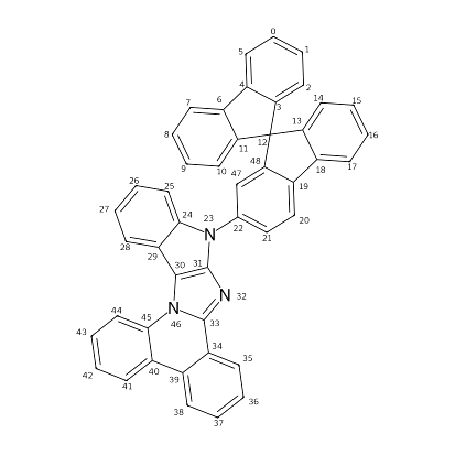 c1ccc2c(c1)-c1ccccc1C21c2ccccc2-c2ccc(-n3c4ccccc4c4c3nc3c5ccccc5c5ccccc5n34)cc21